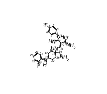 N=C(Nc1ccc(F)cc1)/C(=C\NC1(CN)CCC(Nc2ccccc2F)CC1)C(N)=O